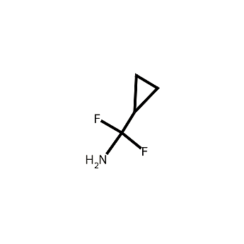 NC(F)(F)C1CC1